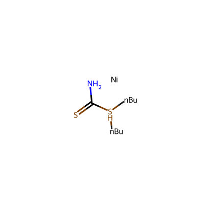 CCCC[SH](CCCC)C(N)=S.[Ni]